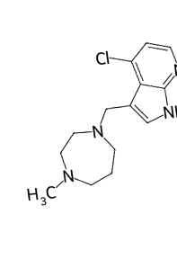 CN1CCCN(Cc2c[nH]c3nccc(Cl)c23)CC1